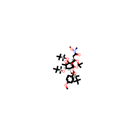 COc1ccc(COC[C@H](C)[C@H]2OC2(C)[C@@H](O[Si](C)(C)C(C)(C)C)[C@@H](CO[Si](C)(C)C(C)(C)C)[C@@H]2OC(C)(C)O[C@H](CC(=O)N(C)OC)[C@H]2CO[Si](C)(C)C(C)(C)C)cc1